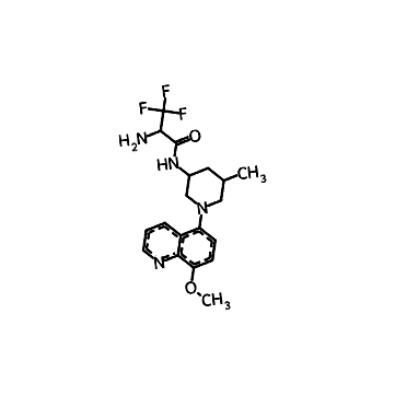 COc1ccc(N2CC(C)CC(NC(=O)C(N)C(F)(F)F)C2)c2cccnc12